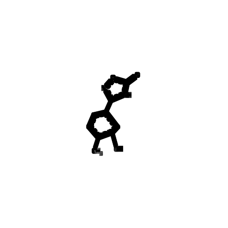 Cc1ccc(-c2noc(=O)[nH]2)cc1O